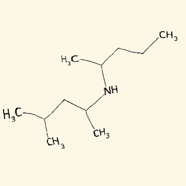 CCCC(C)NC(C)CC(C)C